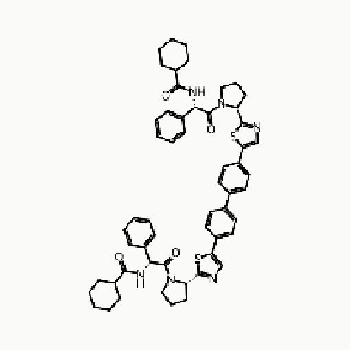 O=C(N[C@H](C(=O)N1CCC[C@H]1c1ncc(-c2ccc(-c3ccc(-c4cnc([C@@H]5CCCN5C(=O)[C@H](NC(=O)C5CCCCC5)c5ccccc5)s4)cc3)cc2)s1)c1ccccc1)C1CCCCC1